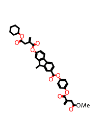 C=C(CC(=O)OC)C(=O)Oc1ccc(OC(=O)c2ccc3c(c2)C(C)c2cc(OC(=O)C(=C)CC(=O)OC4CCCCC4)ccc2-3)cc1